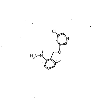 Cc1cccc(N(C)N)c1COc1cncc(Cl)n1